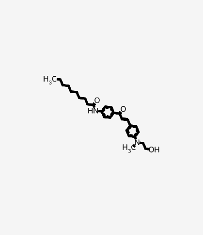 CCCCCCCCCC(=O)Nc1ccc(C(=O)/C=C/c2ccc(N(C)CCO)cc2)cc1